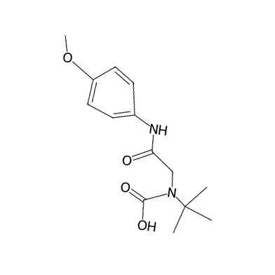 COc1ccc(NC(=O)CN(C(=O)O)C(C)(C)C)cc1